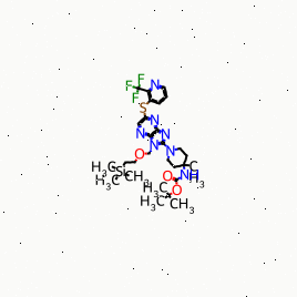 CC1(NC(=O)OC(C)(C)C)CCN(c2nc3nc(Sc4cccnc4C(F)(F)F)cnc3n2COCC[Si](C)(C)C)CC1